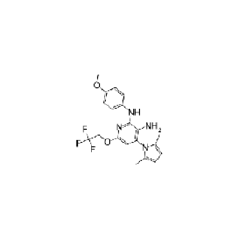 COc1ccc(Nc2nc(OCC(F)(F)F)cc(-n3c(C)ccc3C)c2N)cc1